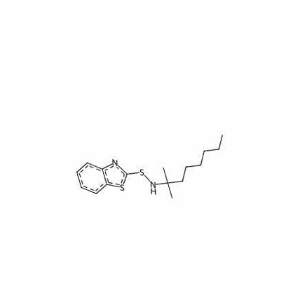 CCCCCCC(C)(C)NSc1nc2ccccc2s1